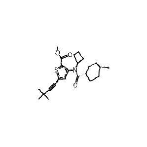 COC(=O)c1sc(C#CC(C)(C)C)cc1N(C(=O)[C@H]1CC[C@H](C)CC1)C1CCC1